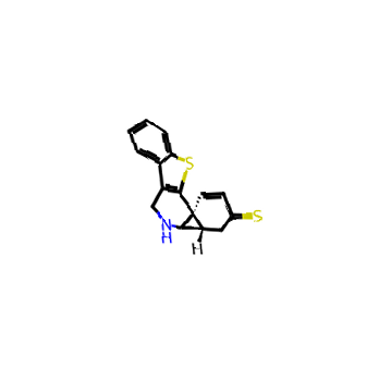 S=C1C=C[C@@]23c4sc5ccccc5c4CNC2[C@H]3C1